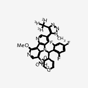 [2H]C([2H])([2H])c1nnn(C)c1-c1cnc2c3c(OC)ncc(S(C)(=O)=O)c3n(C(c3c(F)cc(F)cc3F)C3CCOCC3)c2c1